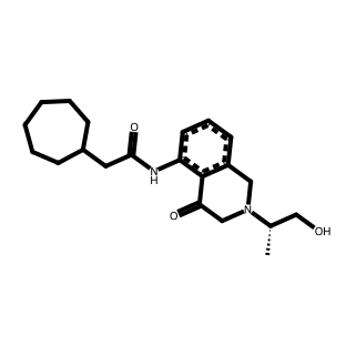 C[C@@H](CO)N1CC(=O)c2c(cccc2NC(=O)CC2CCCCCC2)C1